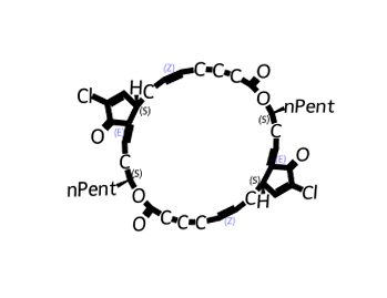 CCCCC[C@H]1C/C=C2/C(=O)C(Cl)=C[C@@H]2C/C=C\CCCC(=O)O[C@@H](CCCCC)C/C=C2/C(=O)C(Cl)=C[C@@H]2C/C=C\CCCC(=O)O1